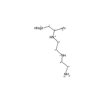 CCCCCCCCC(CCC)NCCNCCN